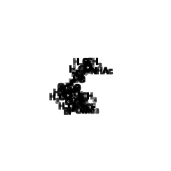 COCC(C)(CBr)COCC(C)(COCC(F)(F)C(F)(F)F)COC(=O)NC1CC(C)(C)CC(C)(NC(=O)OCCCCOC(=O)NCC2(C)CC(NC(C)=O)CC(C)(C)C2)C1